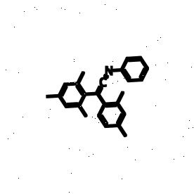 Cc1ccc(C(=C=Nc2ccccc2)c2c(C)cc(C)cc2C)c(C)c1